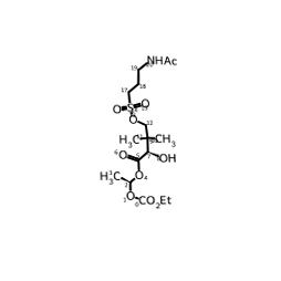 CCOC(=O)O[C@@H](C)OC(=O)[C@H](O)C(C)(C)COS(=O)(=O)CCCNC(C)=O